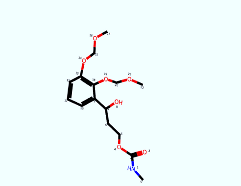 CNC(=O)OCCC(O)c1cccc(OCOC)c1OCOC